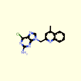 Cc1cc(Cn2cnc3c(Cl)nc(N)nc32)nc2ccccc12